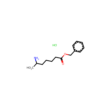 Cl.NC(CCCCC(=O)OCc1ccccc1)C(=O)O